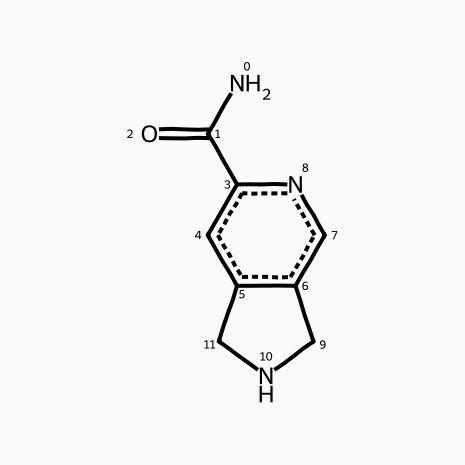 NC(=O)c1cc2c(cn1)CNC2